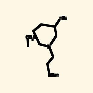 CC(=O)O.CCCCCCCCCCCN1CCCC(CCCC)C1